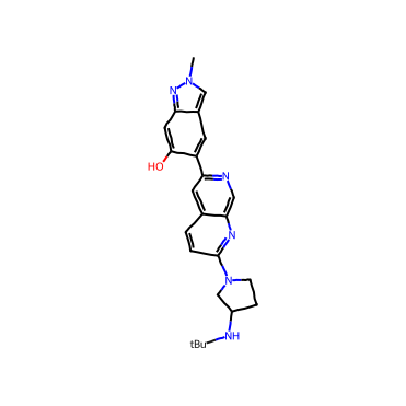 Cn1cc2cc(-c3cc4ccc(N5CCC(NC(C)(C)C)C5)nc4cn3)c(O)cc2n1